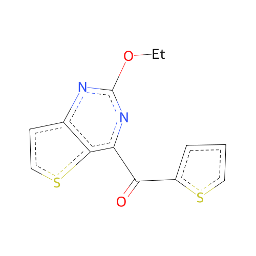 CCOc1nc(C(=O)c2cccs2)c2sccc2n1